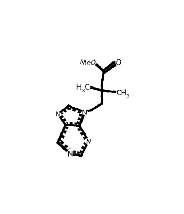 COC(=O)C(C)(C)Cn1cnc2cncnc21